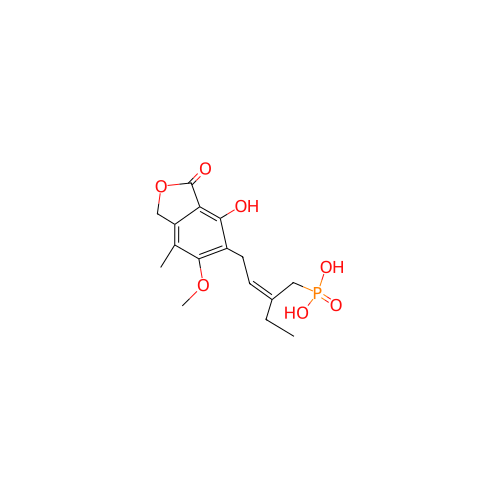 CCC(=CCc1c(O)c2c(c(C)c1OC)COC2=O)CP(=O)(O)O